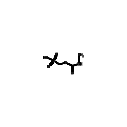 CNC(=O)OCS(=O)(=O)O